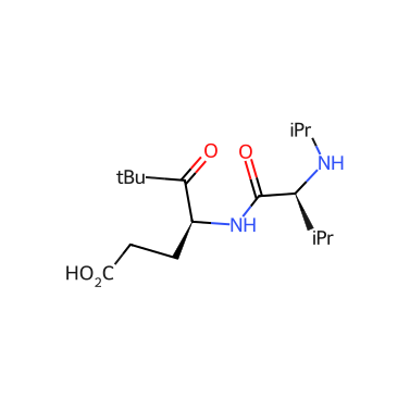 CC(C)N[C@H](C(=O)N[C@@H](CCC(=O)O)C(=O)C(C)(C)C)C(C)C